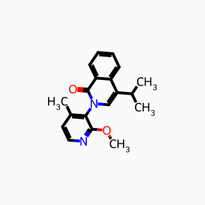 COc1nccc(C)c1-n1cc(C(C)C)c2ccccc2c1=O